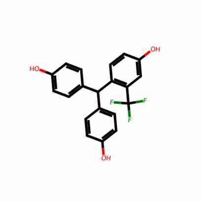 Oc1ccc(C(c2ccc(O)cc2)c2ccc(O)cc2C(F)(F)F)cc1